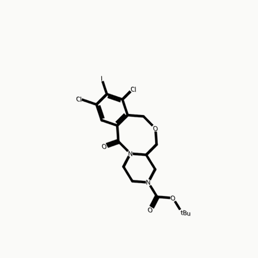 CC(C)(C)OC(=O)N1CCN2C(=O)c3cc(Cl)c(I)c(Cl)c3COCC2C1